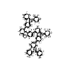 c1ccc(-n2c3ccccc3c3cc(-c4cccc5oc6ccc(-c7cccc8c7c7cc(-c9ccc%10c%11ccccc%11n(-c%11ccccc%11)c%10c9)ccc7n8-c7ccccc7)cc6c45)ccc32)cc1